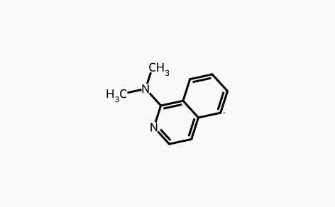 CN(C)c1nccc2[c]cccc12